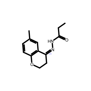 CCC(=O)N/N=C1/CCOc2ccc(C)cc21